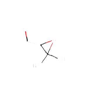 CC1(C)O[C@H]1C[O]